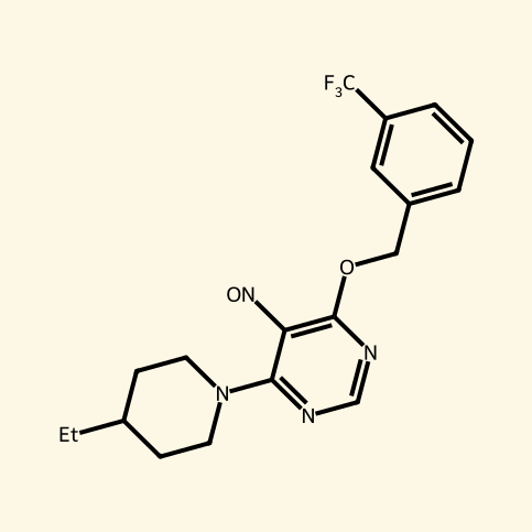 [CH2]CC1CCN(c2ncnc(OCc3cccc(C(F)(F)F)c3)c2N=O)CC1